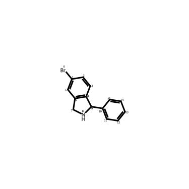 Brc1ccc2c(c1)CNC2c1ccccc1